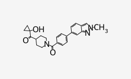 Cn1cc2ccc(-c3ccc(C(=O)N4CCC(C(=O)C5(O)CC5)CC4)cc3)cc2n1